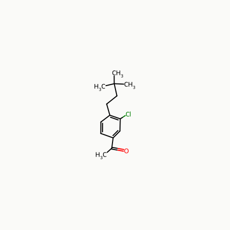 CC(=O)c1ccc(CCC(C)(C)C)c(Cl)c1